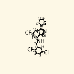 Clc1ccc(Cl)c(CNc2nc(Cl)cn3c([C@@H]4CCCS4)nnc23)c1